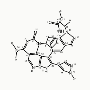 COC(=O)N[C@@H]1CC[C@@H](n2c(=O)nc(N(C)C)c3cnc4[nH]c(-c5cnn(C)c5)c(-c5ccc6c(cnn6C(C)C)c5)c4c32)C1